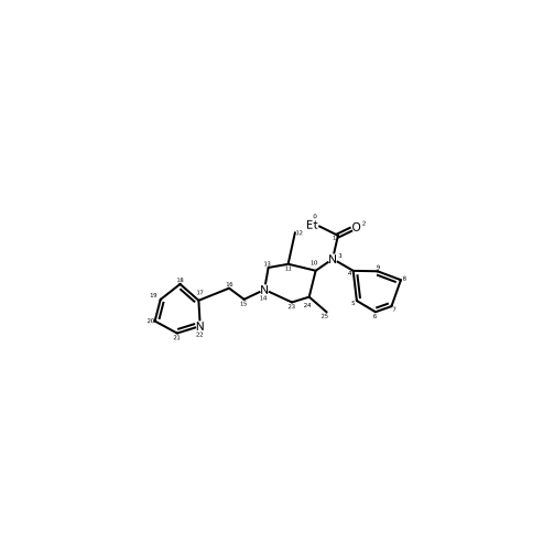 CCC(=O)N(c1ccccc1)C1C(C)CN(CCc2ccccn2)CC1C